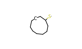 [S]C1CCCCCCCCC1